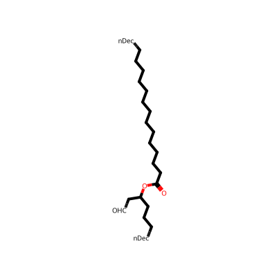 CCCCCCCCCCCCCCCCCCCCCCCC(=O)OC(CC=O)CCCCCCCCCCCCC